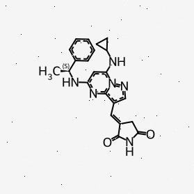 C[C@H](Nc1cc(NC2CC2)n2ncc(C=C3CC(=O)NC3=O)c2n1)c1ccccc1